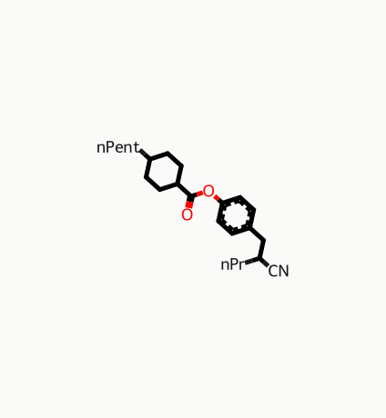 CCCCCC1CCC(C(=O)Oc2ccc(CC(C#N)CCC)cc2)CC1